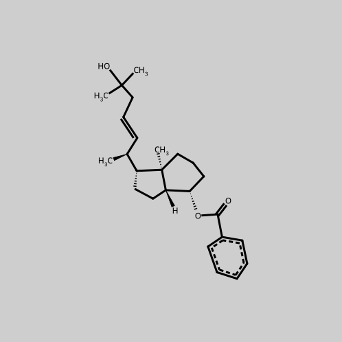 C[C@@H](/C=C/CC(C)(C)O)[C@H]1CC[C@H]2[C@@H](OC(=O)c3ccccc3)CCC[C@]12C